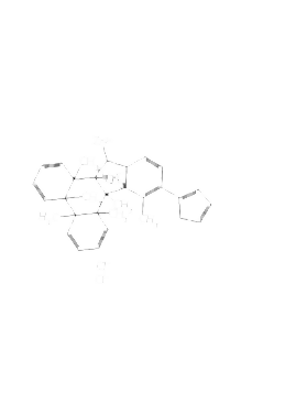 CC1=C(C2=CC=CC2)C=CC2[CH]([Zr+2])C3(C)C4(C)C=CC=CC4(C)C4(C)C=CC=CC4(C)C3(C)C12C.[Cl-].[Cl-]